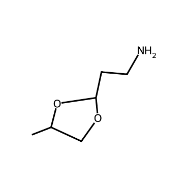 CC1COC(CCN)O1